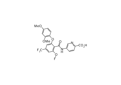 COc1ccc(Oc2cc(C(F)(F)F)cc(OF)c2C(=O)Nc2ccc(C(=O)O)nc2)c(OC)c1